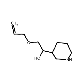 C=CCOCC(O)C1CCCNC1